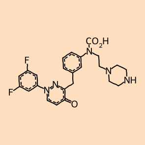 O=C(O)N(CCN1CCNCC1)c1cccc(Cc2nn(-c3cc(F)cc(F)c3)ccc2=O)c1